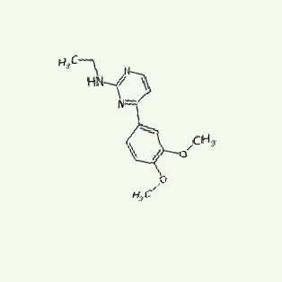 CCNc1nccc(-c2ccc(OC)c(OC)c2)n1